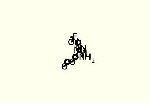 C=C(F)C(=O)N1CCCC(n2nc(-c3ccc(Oc4cccc(OC)c4)cc3)c3c(N)ncnc32)C1